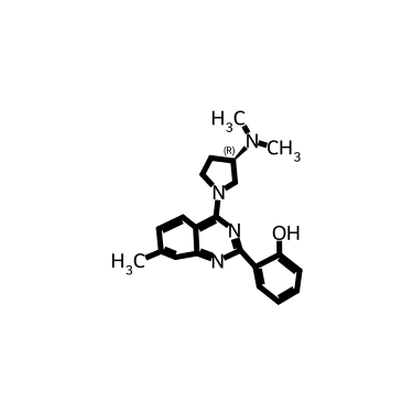 Cc1ccc2c(N3CC[C@@H](N(C)C)C3)nc(-c3ccccc3O)nc2c1